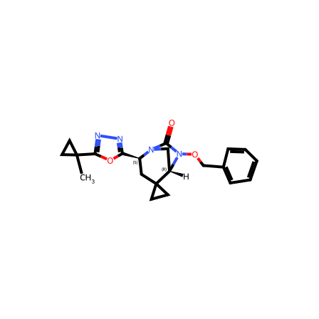 CC1(c2nnc([C@@H]3CC4(CC4)[C@@H]4CN3C(=O)N4OCc3ccccc3)o2)CC1